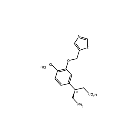 Cl.NC[C@H](CC(=O)O)c1ccc(Cl)c(OCc2cncs2)c1